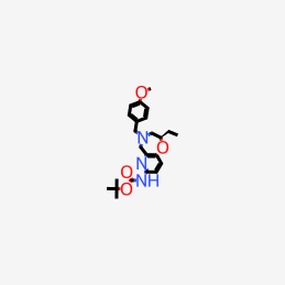 CC[C@@H]1CN(Cc2ccc(OC)cc2)Cc2nc(NC(=O)OC(C)(C)C)ccc2O1